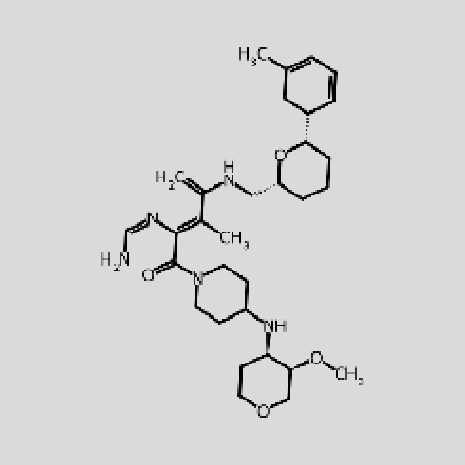 C=C(NC[C@H]1CCC[C@@H](C2C=CC=C(C)C2)O1)/C(C)=C(\N=C/N)C(=O)N1CCC(N[C@@H]2CCOC[C@@H]2OC)CC1